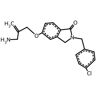 C=C(CN)COc1ccc2c(c1)CN(Cc1ccc(Cl)cc1)C2=O